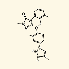 CC1=CN(c2ccc(OCc3c(C)cccc3-n3nnn(C)c3=O)c(C)c2)NN1